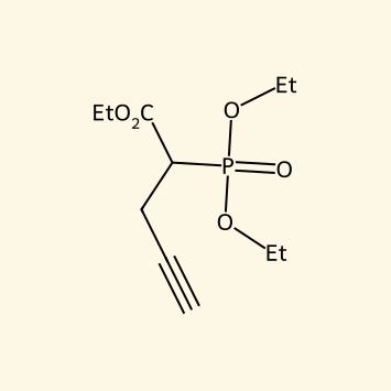 C#CCC(C(=O)OCC)P(=O)(OCC)OCC